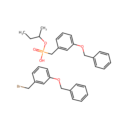 BrCc1cccc(OCc2ccccc2)c1.CCC(C)OP(=O)(O)Cc1cccc(OCc2ccccc2)c1